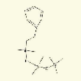 C[Si](C)(C)O[Si](C)(C)O[Si](C)(C)CCc1ccccc1